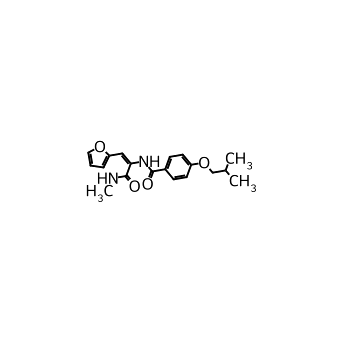 CNC(=O)C(=Cc1ccco1)NC(=O)c1ccc(OCC(C)C)cc1